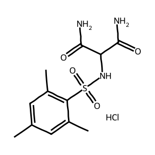 Cc1cc(C)c(S(=O)(=O)NC(C(N)=O)C(N)=O)c(C)c1.Cl